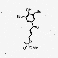 COP(C)(=O)OCC=CC(=O)c1cc(C(C)(C)C)c(O)c(C(C)(C)C)c1